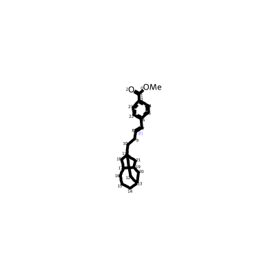 COC(=O)c1ccc(/C=C/CCC23CC4CCCC(C2)C(C4)C3)cc1